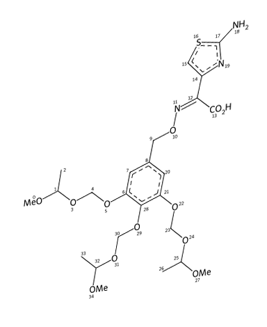 COC(C)OCOc1cc(CO/N=C(\C(=O)O)c2csc(N)n2)cc(OCOC(C)OC)c1OCOC(C)OC